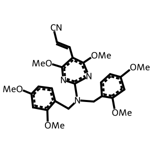 COc1ccc(CN(Cc2ccc(OC)cc2OC)c2nc(OC)c(/C=C/C#N)c(OC)n2)c(OC)c1